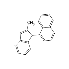 CC1=Cc2[c]cccc2C1c1cccc2ccccc12